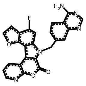 Nc1ncnc2cc(Cn3c4cc(F)c5ccoc5c4c4c5cccnc5oc(=O)c43)ccc12